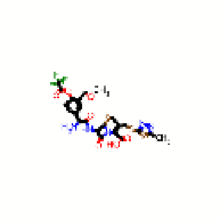 COCc1cc(C(N)C(=O)NC2C(=O)N3C(C(=O)O)=C(CSc4nnc(C)s4)CSC23)ccc1OC(=O)C(F)(F)F